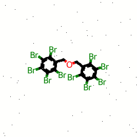 Brc1c(Br)c(Br)c(COCc2c(Br)c(Br)c(Br)c(Br)c2Br)c(Br)c1Br